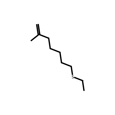 C=C(C)CCCCCS[CH]C